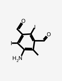 Cc1c(N)c(I)c(C=O)c(I)c1C=O